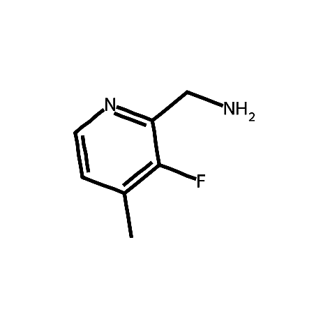 Cc1ccnc(CN)c1F